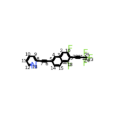 Fc1cc2cc(C#Cc3ccccn3)ccc2c(F)c1C#CC(F)(F)F